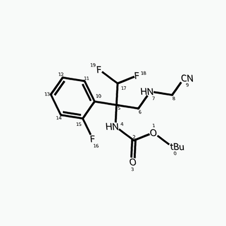 CC(C)(C)OC(=O)NC(CNCC#N)(c1ccccc1F)C(F)F